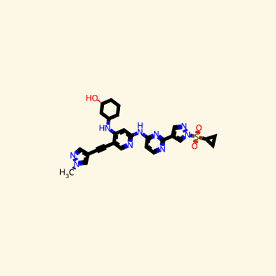 Cn1cc(C#Cc2cnc(Nc3ccnc(-c4cnn(S(=O)(=O)C5CC5)c4)n3)cc2NC2CCC[C@@H](O)C2)cn1